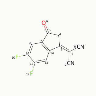 N#CC(C#N)=C1CC(=O)c2cc(F)c(F)cc21